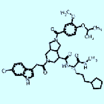 CNC(=O)[C@H](CCCC1CCCC1)NC(=O)C1CN(C(=O)Cc2c[nH]c3cc(Cl)ccc23)CC2CN(C(=O)c3ccc(OC(C)C)c(OC)c3)CC21